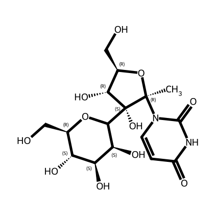 C[C@@]1(n2ccc(=O)[nH]c2=O)O[C@H](CO)[C@@H](O)[C@]1(O)C1O[C@H](CO)[C@@H](O)[C@H](O)[C@@H]1O